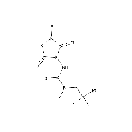 CCN1CC(=O)N(NC(=S)N(C)CC(C)(C)CC)C1=O